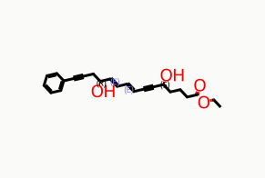 CCOC(=O)CCC[C@H](O)C#C/C=C/C=C/[C@H](O)CC#Cc1ccccc1